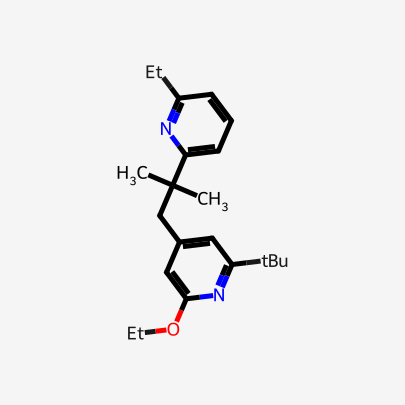 CCOc1cc(CC(C)(C)c2cccc(CC)n2)cc(C(C)(C)C)n1